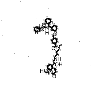 CN(CCCCNC[C@H](O)c1ccc(O)c2[nH]c(=O)ccc12)C(=O)c1ccc(COc2cccc([C@@H](NC(=O)O[C@H]3CN4CCC3CC4)c3ccccc3)c2)cc1